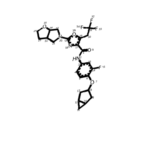 O=C(Nc1ccc(OC2CC3CC3C2)c(F)c1)c1nc(N2CC3CCOC3C2)oc1CC(F)(F)F